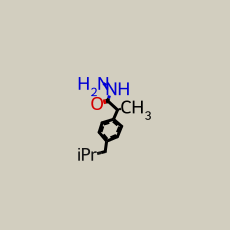 CC(C)Cc1ccc([C@H](C)C(=O)NN)cc1